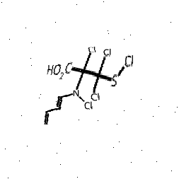 C=CC=CN(Cl)C(Cl)(C(=O)O)C(Cl)(Cl)SCl